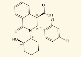 O=C(O)[C@@H]1c2ccccc2C(=O)N([C@@H]2CCCC[C@H]2O)[C@H]1c1ccc(Cl)cc1Cl